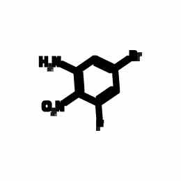 Nc1cc(Br)cc(F)c1[N+](=O)[O-]